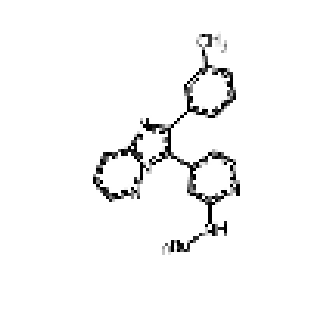 CCCCNc1cc(-c2c(-c3cccc(C)c3)nc3cccnn23)ccn1